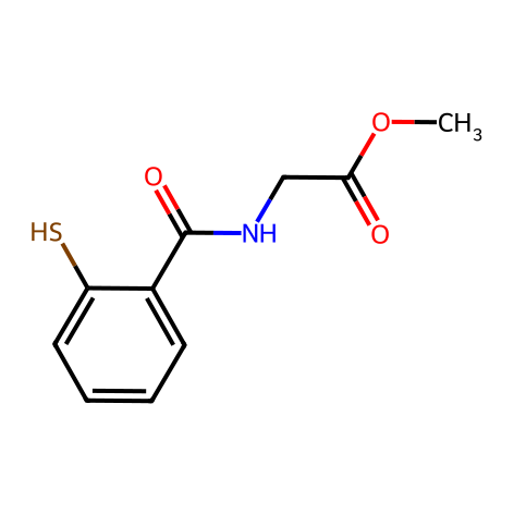 COC(=O)CNC(=O)c1ccccc1S